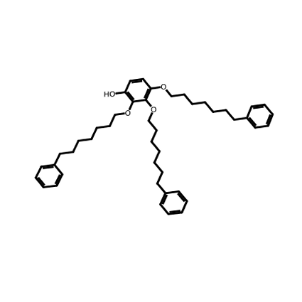 Oc1ccc(OCCCCCCCc2ccccc2)c(OCCCCCCCc2ccccc2)c1OCCCCCCCc1ccccc1